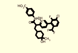 CC1(O)CCC(CC(C(=O)Nc2ccc(C(=O)O)cc2)c2ccc(-c3c(C(F)F)ccc(Cl)c3F)c[n+]2O)CC1